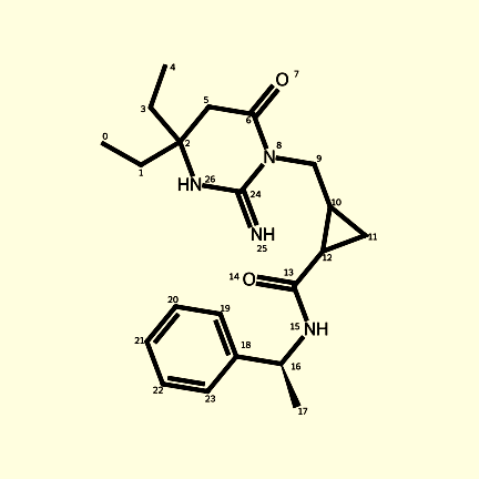 CCC1(CC)CC(=O)N(CC2CC2C(=O)N[C@@H](C)c2ccccc2)C(=N)N1